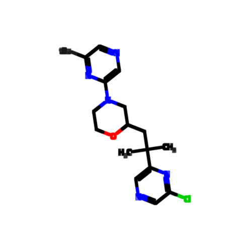 CC(C)(C)c1cncc(N2CCOC(CC(C)(C)c3cncc(Cl)n3)C2)n1